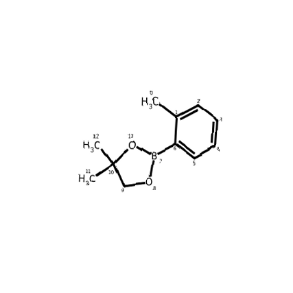 Cc1ccccc1B1OCC(C)(C)O1